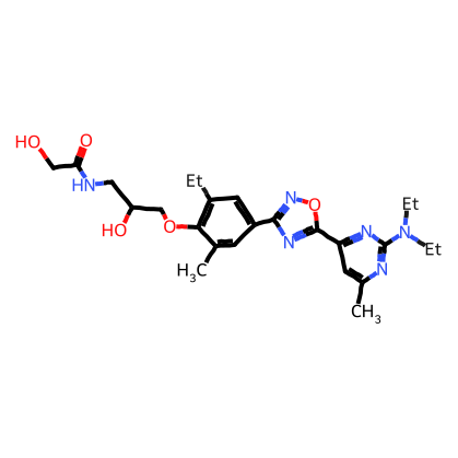 CCc1cc(-c2noc(-c3cc(C)nc(N(CC)CC)n3)n2)cc(C)c1OCC(O)CNC(=O)CO